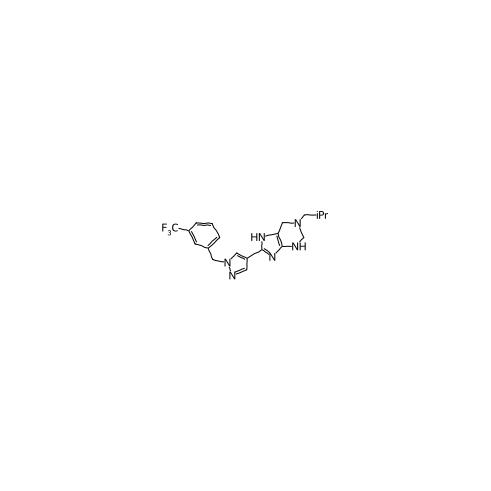 CC(C)CN1CNc2nc(-c3cnn(Cc4cccc(C(F)(F)F)c4)c3)[nH]c2C1